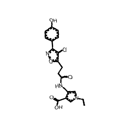 CCn1cc(NC(=O)CCc2onc(-c3ccc(O)cc3)c2Cl)c(C(=O)O)c1